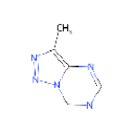 Cc1nnn2cncnc12